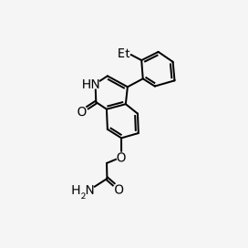 CCc1ccccc1-c1c[nH]c(=O)c2cc(OCC(N)=O)ccc12